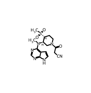 CN(c1ncnc2[nH]ccc12)[C@@H]1CN(C(=O)CC#N)CC[C@H]1S(C)(=O)=O